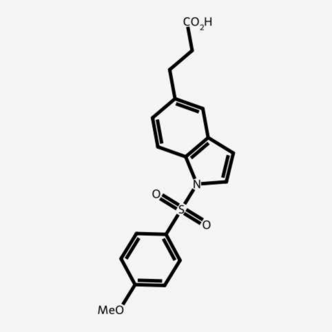 COc1ccc(S(=O)(=O)n2ccc3cc(CCC(=O)O)ccc32)cc1